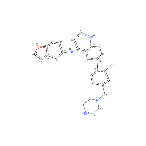 Fc1cc(CN2CCNCC2)ccc1-c1ccc2nccc(Nc3ccc4occc4c3)c2c1